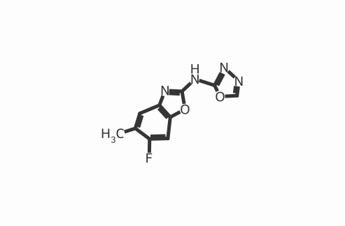 Cc1cc2nc(Nc3nnco3)oc2cc1F